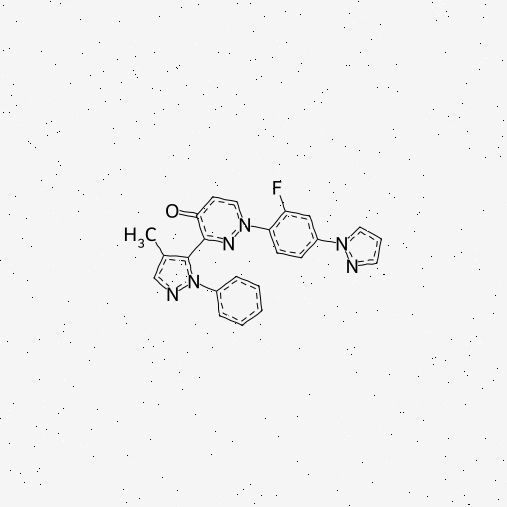 Cc1cnn(-c2ccccc2)c1-c1nn(-c2ccc(-n3cccn3)cc2F)ccc1=O